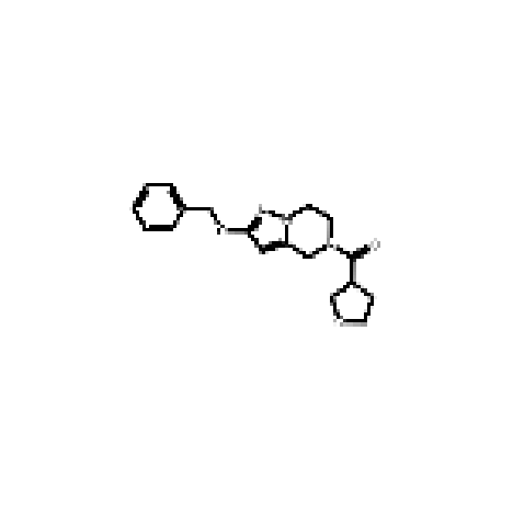 O=C(C1CCOC1)N1CCn2nc(OCc3ccccc3)cc2C1